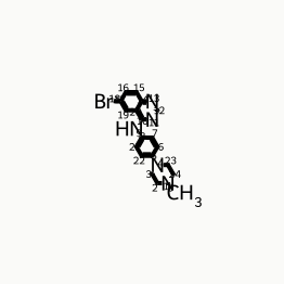 CN1CCN(c2ccc(Nc3ncnc4ccc(Br)cc34)cc2)CC1